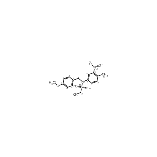 COc1ccc(CN(c2ccc(C)c([N+](=O)[O-])c2)S(=O)(=O)CCl)cc1